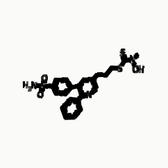 CN(O)C(=S)SCCCc1cnc(-c2ccccc2)c(-c2ccc(S(N)(=O)=O)cc2)c1